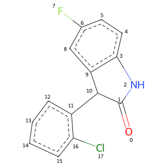 O=C1Nc2ccc(F)cc2C1c1ccccc1Cl